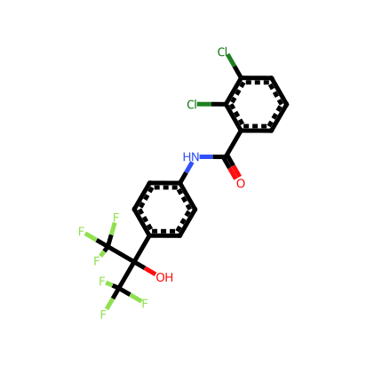 O=C(Nc1ccc(C(O)(C(F)(F)F)C(F)(F)F)cc1)c1cccc(Cl)c1Cl